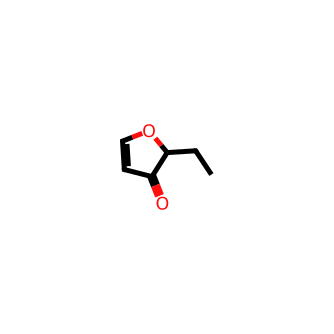 CCC1OC=CC1=O